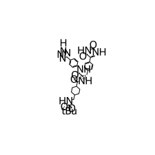 CC(C)(C)OC(=O)NCC1CCC(C(=O)N[C@@H](Cc2ccc(-c3c[nH]c(=O)[nH]c3=O)cc2)C(=O)Nc2ccc(-c3nn[nH]n3)cc2)CC1